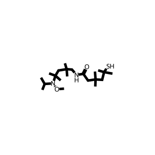 CON(C(C)C)C(C)(C)CC(C)(C)CNC(=O)CC(C)(C)CC(C)(C)S